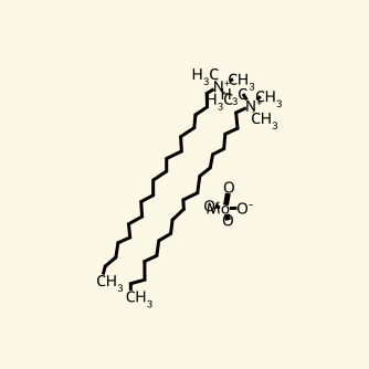 CCCCCCCCCCCCCCCCCC[N+](C)(C)C.CCCCCCCCCCCCCCCCCC[N+](C)(C)C.[O]=[Mo](=[O])([O-])[O-]